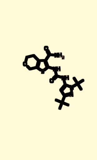 CC(C)(C)c1cc(NC(=O)Nc2sc3c(c2C(N)=O)CCOC3)n(C(C)(C)C)n1